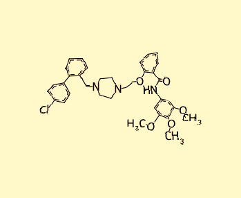 COc1cc(NC(=O)c2ccccc2OCCN2CCN(Cc3ccccc3-c3ccc(Cl)cc3)CC2)cc(OC)c1OC